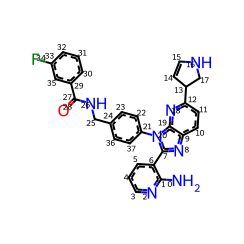 Nc1ncccc1-c1nc2ccc(C3C=CNC3)nc2n1-c1ccc(CNC(=O)c2cccc(F)c2)cc1